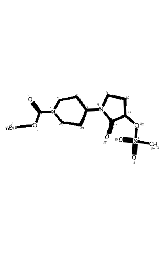 CCCCOC(=O)N1CCC(N2CCC(OS(C)(=O)=O)C2=O)CC1